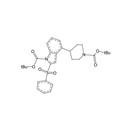 CC(C)(C)OC(=O)N1CCC(c2cccc3c2cc(S(=O)(=O)c2ccccc2)n3C(=O)OC(C)(C)C)CC1